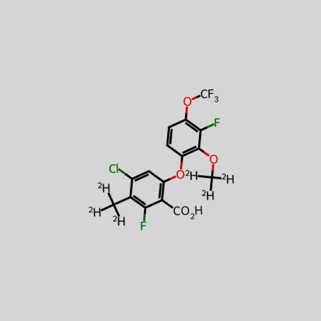 [2H]C([2H])([2H])Oc1c(Oc2cc(Cl)c(C([2H])([2H])[2H])c(F)c2C(=O)O)ccc(OC(F)(F)F)c1F